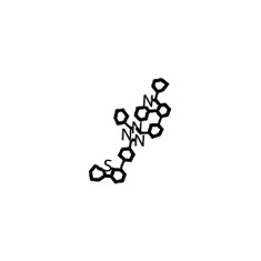 c1ccc(-c2nc(-c3ccc(-c4cccc5c4sc4ccccc45)cc3)nc(-c3cccc(-c4cccc5c(-c6ccccc6)nc6ccccc6c45)c3)n2)cc1